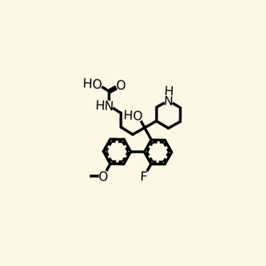 COc1cccc(-c2c(F)cccc2C(O)(CCCNC(=O)O)C2CCCNC2)c1